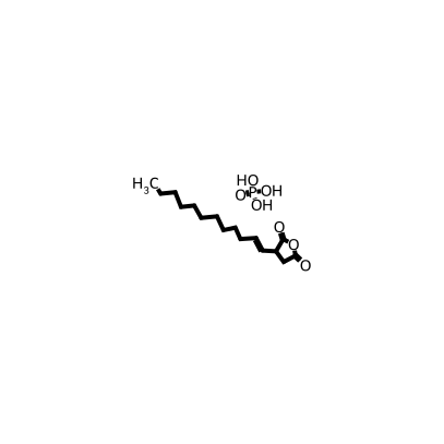 CCCCCCCCCC/C=C/C1CC(=O)OC1=O.O=P(O)(O)O